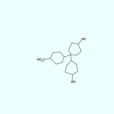 CCCC1CCC(C2(C3CCC(C(=O)O)CC3)CCC(CCC)CC2)CC1